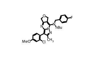 CCCCN(Cc1ccc(F)cc1)c1c2c(nc3c(-c4ccc(OC)cc4Cl)c(C)nn13)COC2